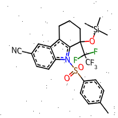 Cc1ccc(S(=O)(=O)n2c3c(c4cc(C#N)ccc42)CCCC3(O[Si](C)(C)C)C(F)(F)C(F)(F)F)cc1